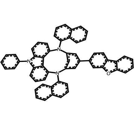 c1ccc(-n2c3cccc4c3c3c(cccc32)N(c2cccc3ccccc23)c2cc(-c3ccc5c(c3)oc3ccccc35)cc(c2)N4c2cccc3ccccc23)cc1